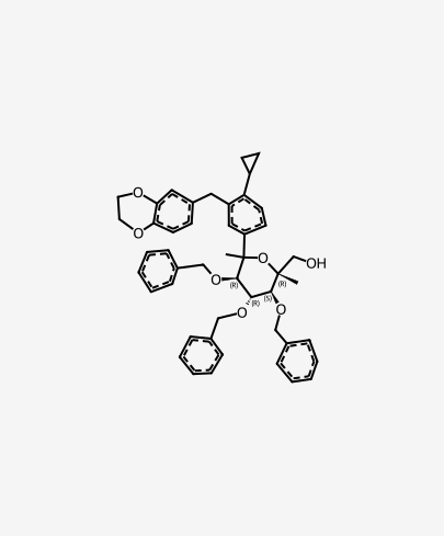 CC1(c2ccc(C3CC3)c(Cc3ccc4c(c3)OCCO4)c2)O[C@](C)(CO)[C@@H](OCc2ccccc2)[C@H](OCc2ccccc2)[C@H]1OCc1ccccc1